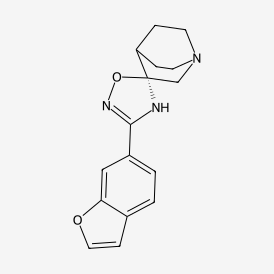 c1cc2ccc(C3=NO[C@@]4(CN5CCC4CC5)N3)cc2o1